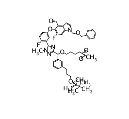 Cn1nc(C(OCCCCS(C)(=O)=O)c2cccc(CCCO[Si](C)(C)C(C)(C)C)c2)nc1-c1cc(Oc2c(F)cc3c(ccn3COCc3ccccc3)c2C=O)ccc1F